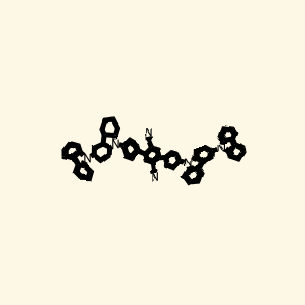 N#Cc1cc(-c2ccc(-n3c4ccccc4c4cc(-n5c6ccccc6c6ccccc65)ccc43)cc2)c(C#N)cc1-c1ccc(N2C3CCCCC3C3CC(n4c5ccccc5c5ccccc54)CCC32)cc1